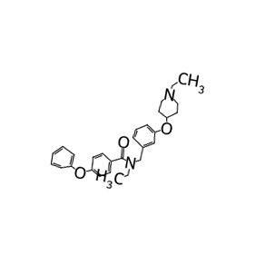 CCN1CCC(Oc2cccc(CN(CC)C(=O)c3ccc(Oc4ccccc4)cc3)c2)CC1